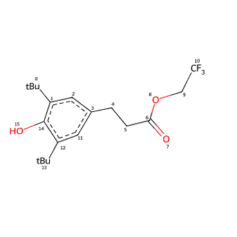 CC(C)(C)c1cc(CCC(=O)OCC(F)(F)F)cc(C(C)(C)C)c1O